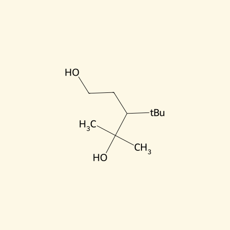 CC(C)(C)C(CCO)C(C)(C)O